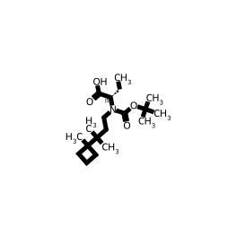 CC[C@@H](C(=O)O)N(CCC(C)(C)C1(C)CCC1)C(=O)OC(C)(C)C